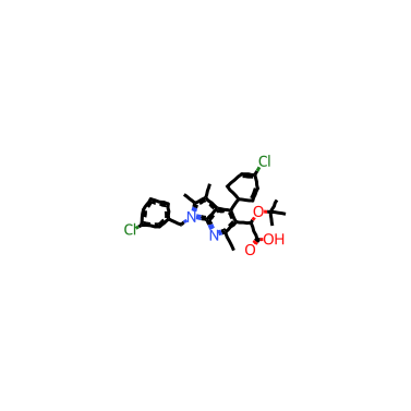 Cc1nc2c(c(C)c(C)n2Cc2cccc(Cl)c2)c(C2C=CC(Cl)=CC2)c1C(OC(C)(C)C)C(=O)O